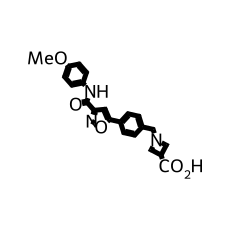 COc1ccc(NC(=O)c2cc(-c3ccc(CN4CC(C(=O)O)C4)cc3)on2)cc1